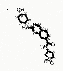 O=C(NC1CCS(=O)(=O)C1)c1ccc2cnc(N[C@H]3CC[C@H](O)CC3)nc2c1